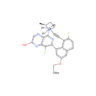 COCOc1cc(-c2nc(N3CC[C@@H]3C)c3ncc(O)nc3c2F)c2c(C#C[Si](C(C)C)(C(C)C)C(C)C)c(F)ccc2c1